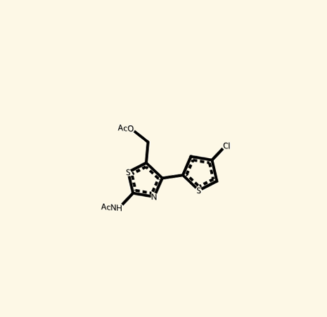 CC(=O)Nc1nc(-c2cc(Cl)cs2)c(COC(C)=O)s1